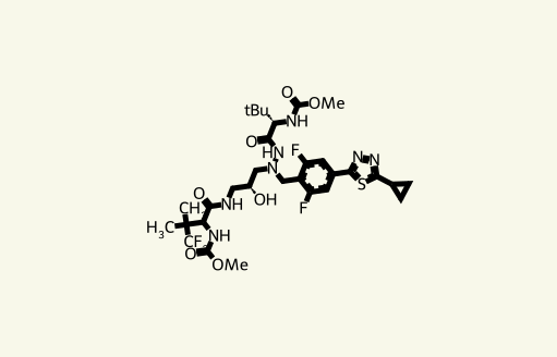 COC(=O)NC(C(=O)NC[C@@H](O)CN(Cc1c(F)cc(-c2nnc(C3CC3)s2)cc1F)NC(=O)[C@@H](NC(=O)OC)C(C)(C)C)C(C)(C)C(F)(F)F